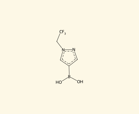 OB(O)c1cnn(CC(F)(F)F)c1